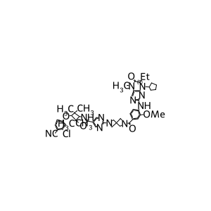 CC[C@@H]1C(=O)N(C)c2cnc(Nc3ccc(C(=O)N4CC5(C4)CN(c4ncc(C(=O)NC6C(C)(C)C(Oc7ccc(C#N)c(Cl)c7)C6(C)C)cn4)C5)cc3OC)nc2N1C1CCCC1